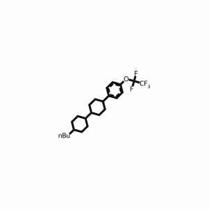 CCCCC1CCC(C2CCC(c3ccc(OC(F)(F)C(F)(F)F)cc3)CC2)CC1